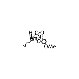 COc1ccc(C2COCC(C)(C)N2C(=O)NCCCCC2CC2)cc1